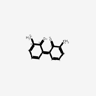 CC1=CC=C/C(=C2\C=CC=C(C)C2=O)C1=O